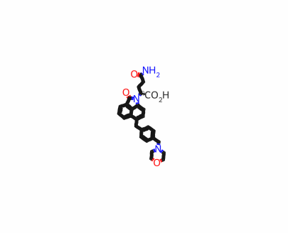 NC(=O)CC[C@@H](C(=O)O)N1C(=O)c2cccc3c(Cc4ccc(CN5CCOCC5)cc4)ccc1c23